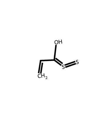 C=CC(O)=S=S